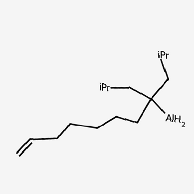 C=CCCCCC[C]([AlH2])(CC(C)C)CC(C)C